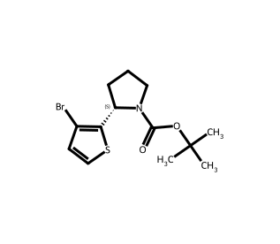 CC(C)(C)OC(=O)N1CCC[C@H]1c1sccc1Br